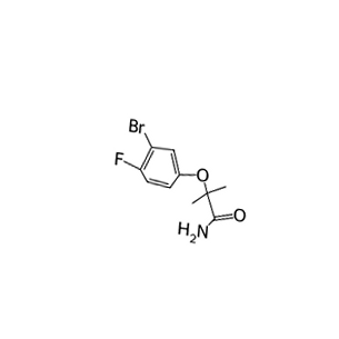 CC(C)(Oc1ccc(F)c(Br)c1)C(N)=O